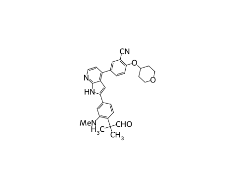 CNc1cc(-c2cc3c(-c4ccc(OC5CCOCC5)c(C#N)c4)ccnc3[nH]2)ccc1C(C)(C)C=O